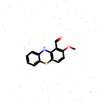 COc1ccc2c(c1C=O)Nc1ccccc1S2